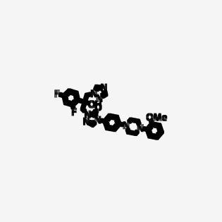 COc1ccccc1N1CCN(c2ccc(-n3cnn(CC(O)(Cn4cncn4)c4ccc(F)cc4F)c3=O)cc2)CC1